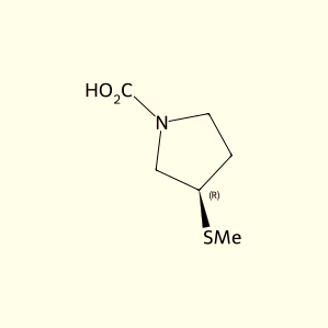 CS[C@@H]1CCN(C(=O)O)C1